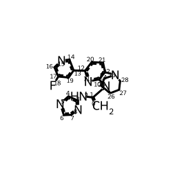 C=C(Nc1cnccn1)N1c2nc(-c3cncc(F)c3)ccc2N2CCC1CC2